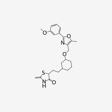 C=C1NC(=O)C(CCC2CCCC(OCc3nc(-c4cccc(OC)c4)oc3C)C2)S1